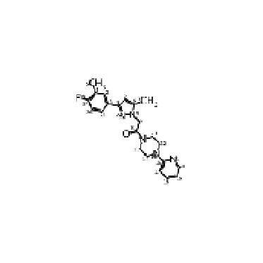 Cc1cc(-c2cc(C)n(CC(=O)N3CCN(c4ccccn4)CC3)n2)ccc1F